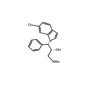 CNC[C@@H](O)[C@H](c1ccccc1)n1ccc2ccc(Cl)cc21